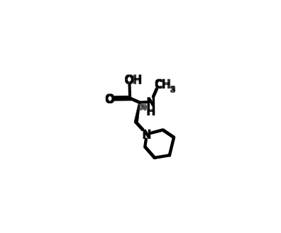 CN[C@@H](CN1CCCCC1)C(=O)O